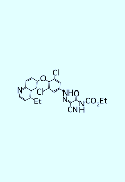 CCOC(=O)NC(=O)C(C#N)=NNc1cc(Cl)c(Oc2ccc3nccc(CC)c3c2)c(Cl)c1